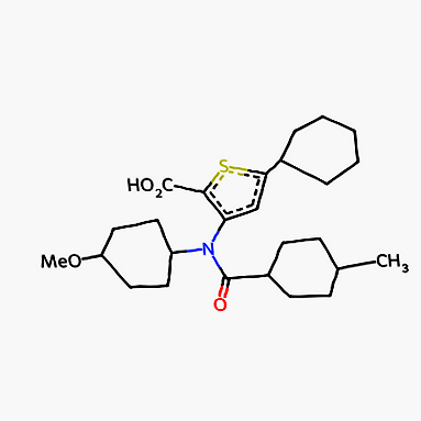 COC1CCC(N(C(=O)C2CCC(C)CC2)c2cc(C3CCCCC3)sc2C(=O)O)CC1